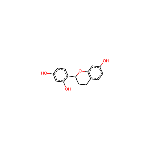 Oc1ccc(C2CCc3ccc(O)cc3O2)c(O)c1